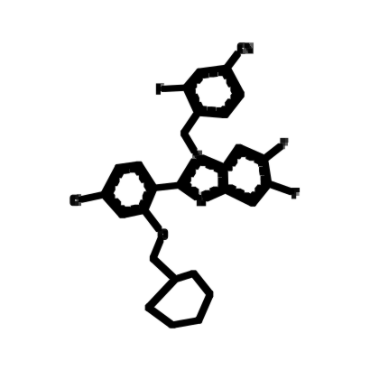 N#Cc1ccc(Cn2c(-c3ccc(Cl)cc3OCC3CCCCC3)nc3cc(F)c(F)cc32)c(F)c1